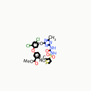 COC(=O)c1cc(Oc2ccc(Cl)cc2Cl)ccc1[N+](=O)[O-].COc1nc(C)nc(NC(=O)NS(=O)(=O)c2ccsc2C(=O)O)n1